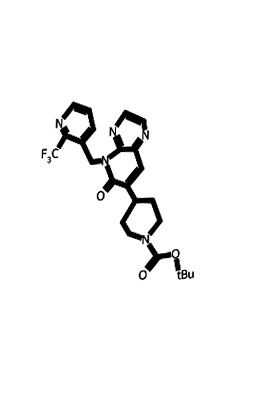 CC(C)(C)OC(=O)N1CCC(c2cc3nccnc3n(Cc3cccnc3C(F)(F)F)c2=O)CC1